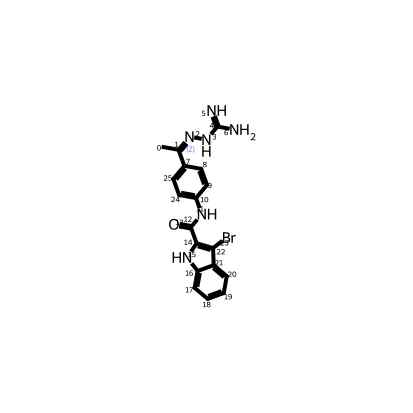 C/C(=N/NC(=N)N)c1ccc(NC(=O)c2[nH]c3ccccc3c2Br)cc1